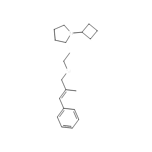 C/C(=C\c1ccccc1)CNCC[C@@H]1CCCN1C1CCC1